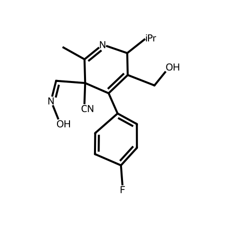 CC1=NC(C(C)C)C(CO)=C(c2ccc(F)cc2)C1(C#N)/C=N\O